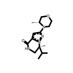 CC(C)[C@@]1(C)CNC(=O)c2cc(N3CCOC[C@H]3C)nn21